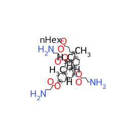 CCCCCCOC(=O)CC[C@@H](C)[C@H]1CC[C@H]2[C@H]3C(C[C@H](OC(=O)CCN)[C@]12C)[C@@]1(C)CC[C@@H](OC(=O)CCN)C[C@H]1C[C@H]3OC(=O)CCN